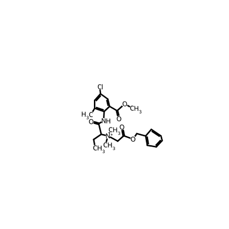 CCC(C(=O)Nc1c(C)cc(Cl)cc1C(=O)OC)[N+](C)(C)CC(=O)OCc1ccccc1